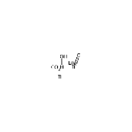 O=C(O)O.[LiH].[O]=[Ti].[Ti]